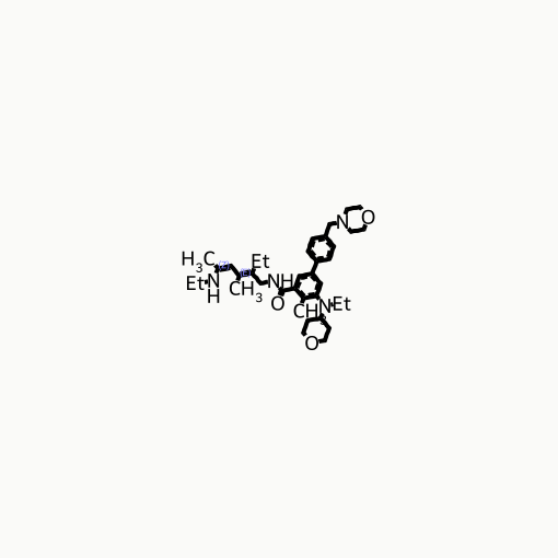 CCN/C(C)=C\C(C)=C(/CC)CNC(=O)c1cc(-c2ccc(CN3CCOCC3)cc2)cc(N(CC)C2CCOCC2)c1C